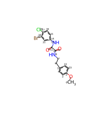 COc1ccc(CCNC(=O)C(=O)Nc2ccc(Cl)c(Br)c2)cc1